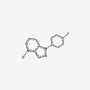 [O-][n+]1cccc2c1cnn2-c1ccc(F)cc1